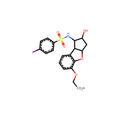 O=C(O)COc1cccc2c1OC1CC(O)C(NS(=O)(=O)c3ccc(I)cc3)C21